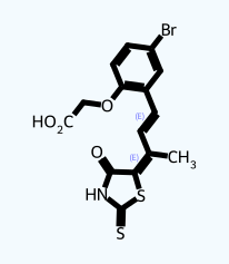 CC(/C=C/c1cc(Br)ccc1OCC(=O)O)=C1\SC(=S)NC1=O